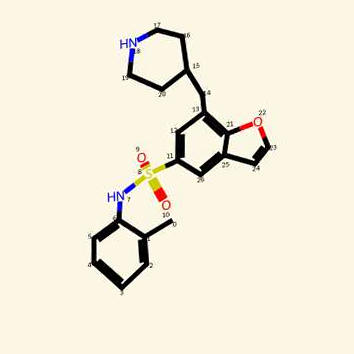 Cc1ccccc1NS(=O)(=O)c1cc(CC2CCNCC2)c2occc2c1